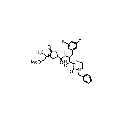 COCC(C)N1CC(C(=O)N[C@@H](Cc2cc(F)cc(F)c2)[C@H](O)[C@@H]2NCCN(Cc3ccccc3)C2=O)CC1=O